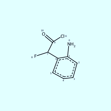 Nc1ccccc1C(F)C(=O)Cl